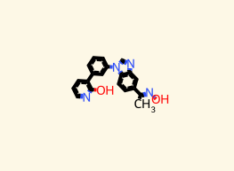 CC(=NO)c1ccc2c(c1)ncn2-c1cccc(-c2cccnc2O)c1